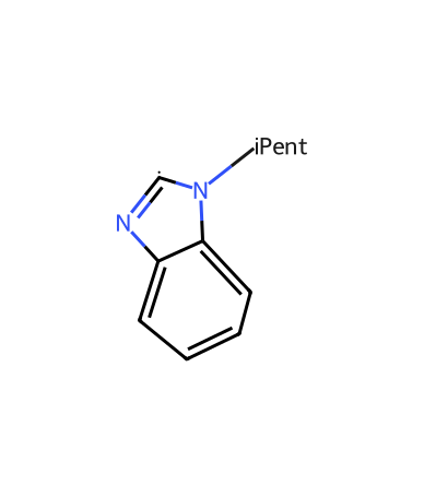 CCCC(C)n1[c]nc2ccccc21